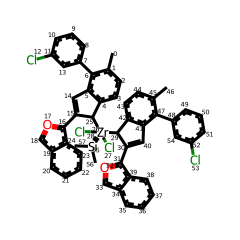 Cc1ccc2c(c1-c1cccc(Cl)c1)C=C(c1occ3ccccc13)[CH]2[Zr]([Cl])([Cl])([CH]1C(c2occ3ccccc23)=Cc2c1ccc(C)c2-c1cccc(Cl)c1)=[Si](C)C